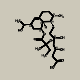 CCC(C)(C)C(=O)O[C@H]1C[C@@H](C(C)O)C=C2CC[C@H](C)[C@H](CC[C@@H](O)C[C@@H](O)CC(=O)O)[C@H]21